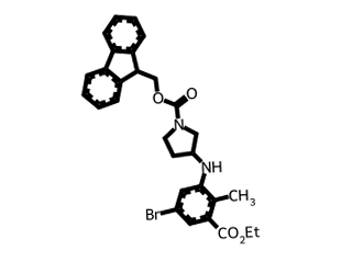 CCOC(=O)c1cc(Br)cc(NC2CCN(C(=O)OCC3c4ccccc4-c4ccccc43)C2)c1C